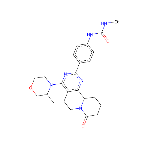 CCNC(=O)Nc1ccc(-c2nc3c(c(N4CCOCC4C)n2)CCN2C(=O)CCCC32)cc1